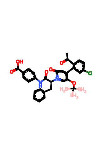 BC(B)(B)Oc1cn([C@@H](Cc2ccccc2)C(=O)Nc2ccc(C(=O)O)cc2)c(=O)cc1-c1cc(Cl)ccc1C(C)=O